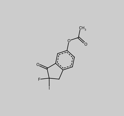 CC(=O)Oc1ccc2c(c1)C(=O)C(F)(I)C2